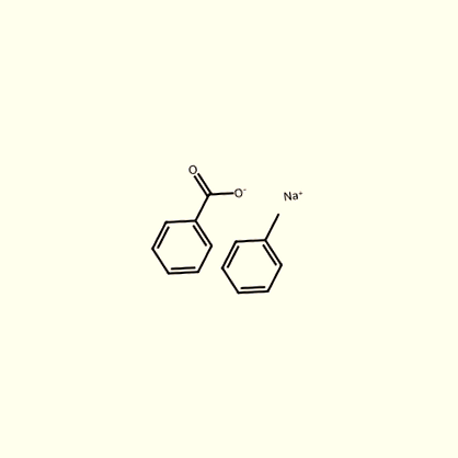 Cc1ccccc1.O=C([O-])c1ccccc1.[Na+]